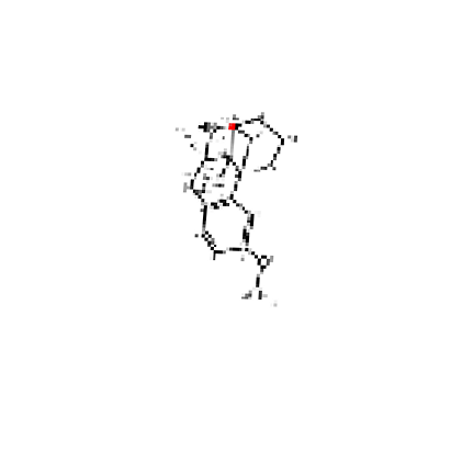 COc1ccc2c(c1)[C@@]13CCCCC1(OC)[C@@H](C2)NCC3